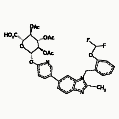 CC(=O)O[C@@H]1[C@@H](OC(C)=O)[C@H](Oc2ccc(-c3ccc4nc(C)n(Cc5ccccc5OC(F)F)c4c3)cn2)O[C@H](C(=O)O)[C@H]1OC(C)=O